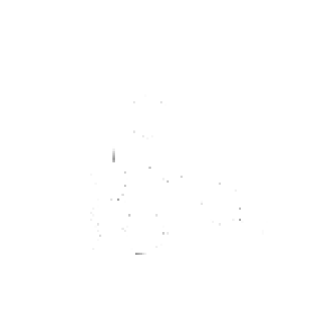 Cc1c(O)c2ccccc2c2c1sc(=NC1CCCCC1)n2CCCN1CCN(C)CC1.Cl.Cl.Cl